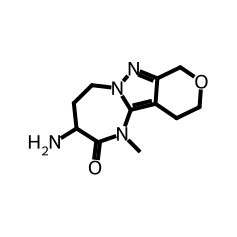 CN1C(=O)C(N)CCn2nc3c(c21)CCOC3